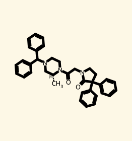 C[C@@H]1CN(C(c2ccccc2)c2ccccc2)CCN1C(=O)CN1CCC(c2ccccc2)(c2ccccc2)C1=O